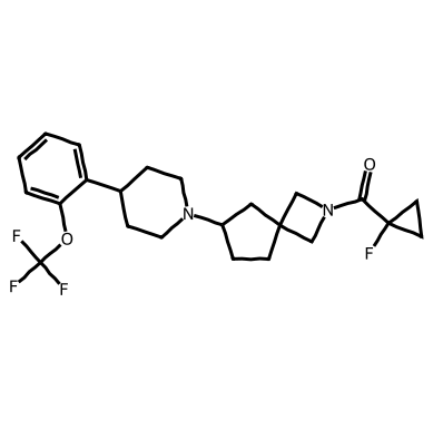 O=C(N1CC2(CCC(N3CCC(c4ccccc4OC(F)(F)F)CC3)C2)C1)C1(F)CC1